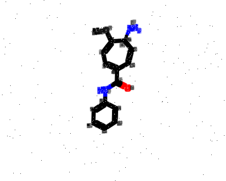 COC1=CC=C(C(=O)Nc2ccccc2)C=C[C@H]1N